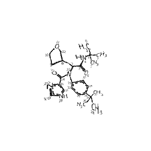 CC(C)(C)NC(=O)C(C1CCOC1)N(C(=O)c1c[nH]cn1)c1ccc(C(C)(C)C)cc1